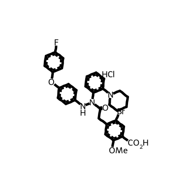 COc1cc(CC(=O)N(Nc2ccc(Oc3ccc(F)cc3)cc2)c2ccccc2N2CCCCC2)c(Br)cc1C(=O)O.Cl